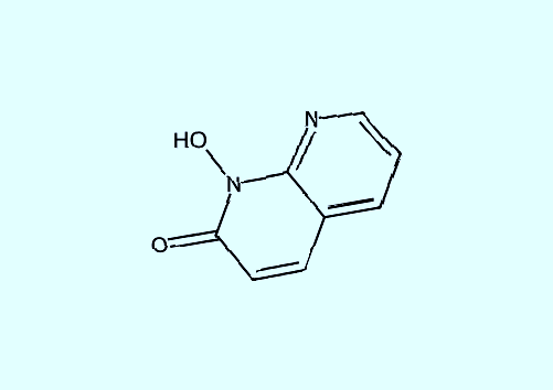 O=c1ccc2cccnc2n1O